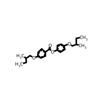 CCC(C)COc1ccc(OC(=O)c2ccc(OCC(C)CC)cc2)cc1